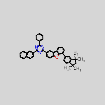 CC1(C)CC(C)(C)c2cc(-c3cccc4c3oc3ccc(-c5nc(C6=CC=CCC6)nc(-c6ccc7ccccc7c6)n5)cc34)ccc21